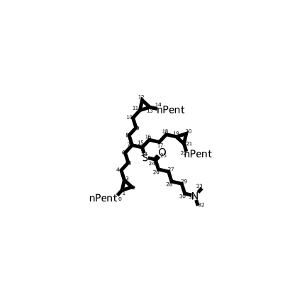 CCCCCC1CC1CCCC(CCCC1CC1CCCCC)C(CCCC1CC1CCCCC)SC(=O)CCCCCN(C)C